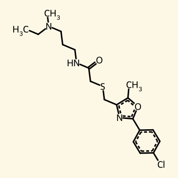 CCN(C)CCCNC(=O)CSCc1nc(-c2ccc(Cl)cc2)oc1C